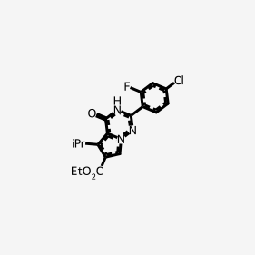 CCOC(=O)c1cn2nc(-c3ccc(Cl)cc3F)[nH]c(=O)c2c1C(C)C